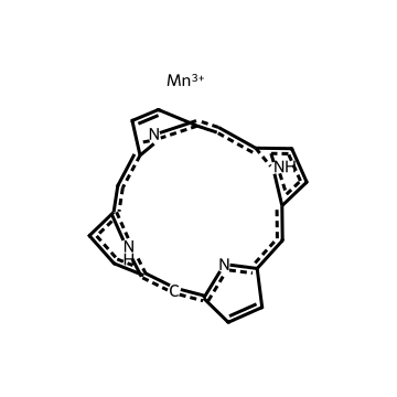 C1=Cc2cc3ccc(cc4nc(cc5ccc(cc1n2)[nH]5)C=C4)[nH]3.[Mn+3]